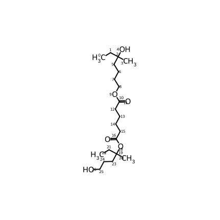 CCC(C)(O)CCCCOC(=O)CCCCC(=O)OC(C)(CC)CCCO